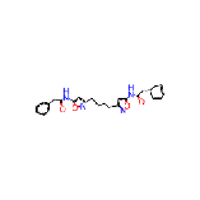 O=C(Cc1ccccc1)Nc1cc(CCCCc2cc(NC(=O)CC3C=CC=CC3)on2)no1